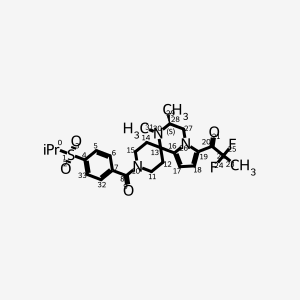 CC(C)S(=O)(=O)c1ccc(C(=O)N2CCC3(CC2)c2ccc(C(=O)C(C)(F)F)n2C[C@H](C)N3C)cc1